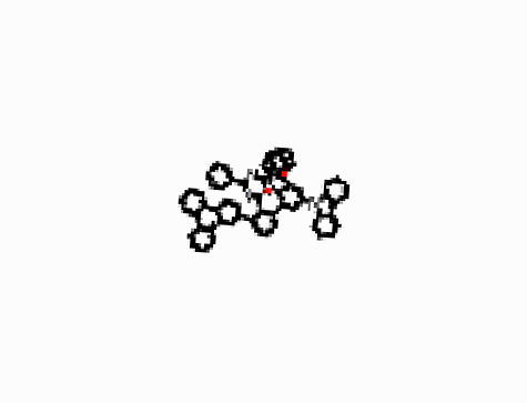 c1ccc(-c2nc(-c3ccccc3)nc(-c3c(-c4ccc5c6ccccc6c6ccccc6c5c4)cccc3-c3cc(-n4c5ccccc5c5ccccc54)cc4c3oc3ccccc34)n2)cc1